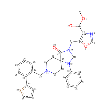 COC(=O)c1ncoc1CN1CN(c2ccccc2)C2(CCN(Cc3ccccc3-c3cccs3)CC2)C1=O